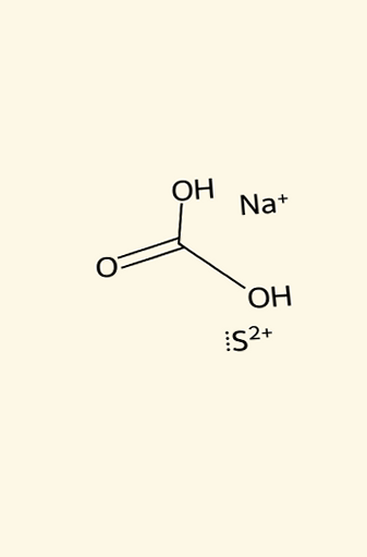 O=C(O)O.[Na+].[S+2]